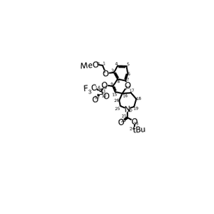 COCOc1cccc2c1C(OS(=O)(=O)C(F)(F)F)=CC1(CCCN(C(=O)OC(C)(C)C)CC1)O2